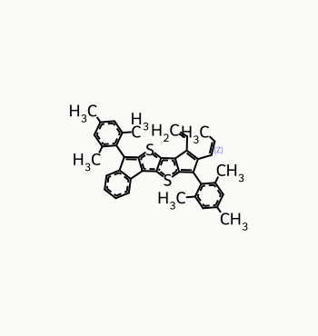 C=CC1=C(/C=C\C)C(c2c(C)cc(C)cc2C)=c2sc3c4c(sc3c21)=C(c1c(C)cc(C)cc1C)c1ccccc1-4